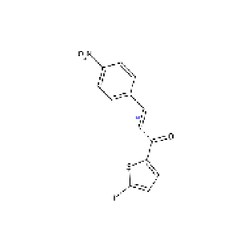 O=C(/C=C/c1ccc([N+](=O)[O-])cc1)c1ccc(I)s1